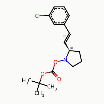 CC(C)(C)OC(=O)ON1CCC[C@@H]1/C=C/c1cccc(Cl)c1